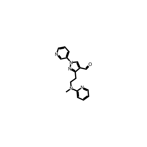 CN(CCc1nn(-c2cccnc2)cc1C=O)c1ccccn1